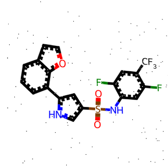 O=S(=O)(Nc1cc(F)c(C(F)(F)F)cc1F)c1c[nH]c(-c2cccc3ccoc23)c1